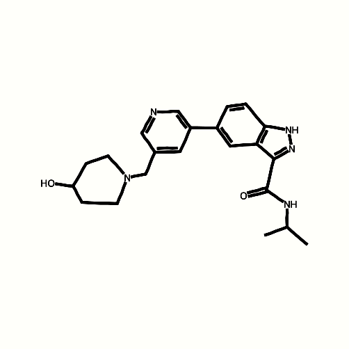 CC(C)NC(=O)c1n[nH]c2ccc(-c3cncc(CN4CCC(O)CC4)c3)cc12